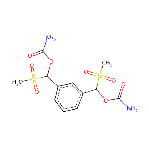 CS(=O)(=O)C(OC(N)=O)c1cccc(C(OC(N)=O)S(C)(=O)=O)c1